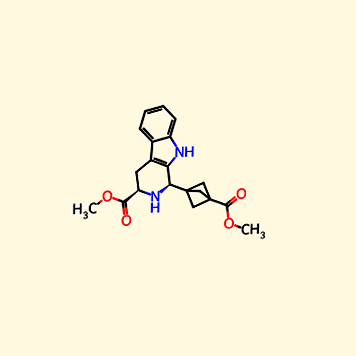 COC(=O)[C@H]1Cc2c([nH]c3ccccc23)[C@@H](C23CC(C(=O)OC)(C2)C3)N1